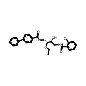 CCO[C@H](CNC(=O)c1ccc(-c2ccccc2)cc1)[C@@H](O)CNC(=O)c1ccccc1Cl